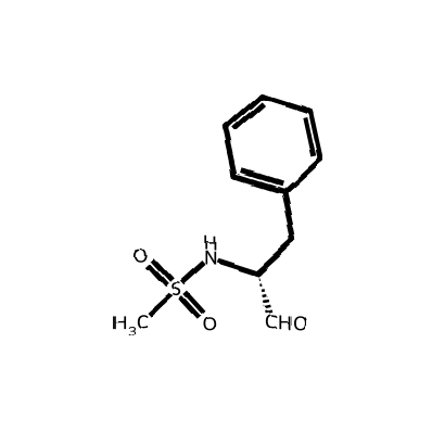 CS(=O)(=O)N[C@@H](C=O)Cc1ccccc1